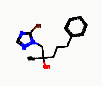 CC(C)(C)C(O)(CCCc1ccccc1)Cn1ncnc1S